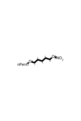 CCCCCOCCCCCO[N+](=O)[O-]